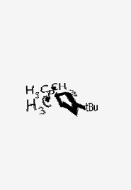 CC(C)(C)C1=CC(=P(C)(C)C)C=C1